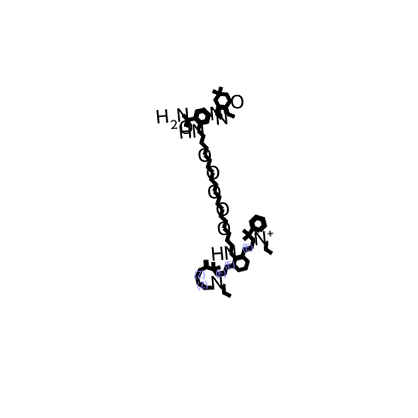 C=C1/C=C\C=C/CN(CCC)/C(=C/C=C2\CCCC(/C=C/C3=[N+](CCC)c4ccccc4C3(C)C)=C2NCCCOCCOCCOCCOCCOCCCNc2cc(-n3nc(C)c4c3CC(C)(C)CC4=O)ccc2C(N)=O)C1(C)C